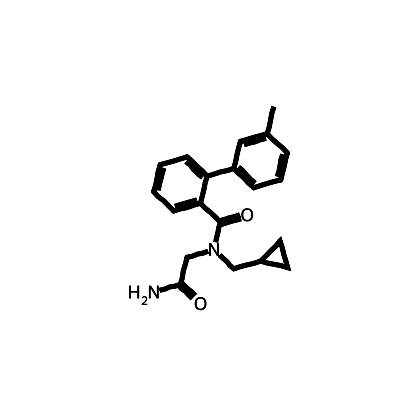 Cc1cccc(-c2ccccc2C(=O)N(CC(N)=O)CC2CC2)c1